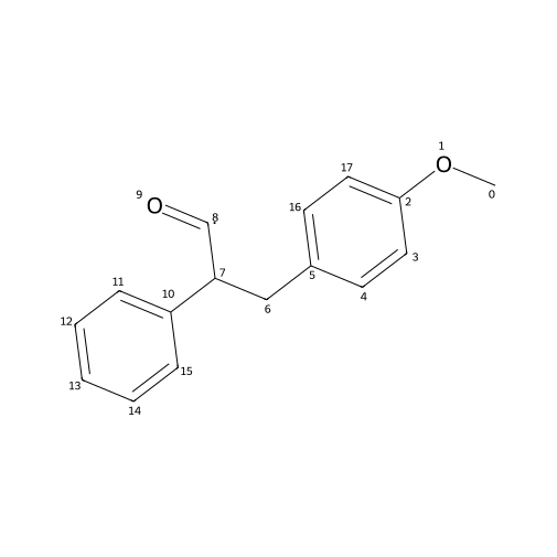 COc1ccc(CC([C]=O)c2ccccc2)cc1